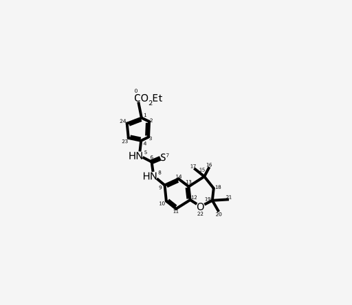 CCOC(=O)c1ccc(NC(=S)Nc2ccc3c(c2)C(C)(C)CC(C)(C)O3)cc1